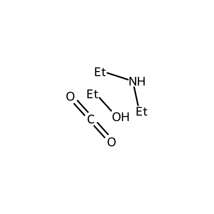 CCNCC.CCO.O=C=O